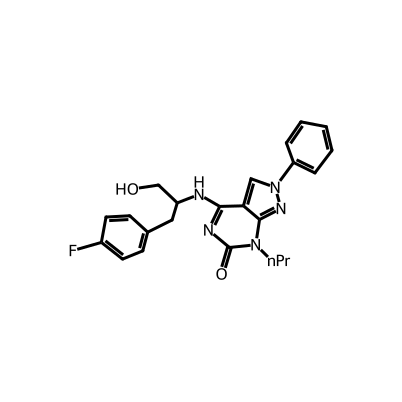 CCCn1c(=O)nc(NC(CO)Cc2ccc(F)cc2)c2cn(-c3ccccc3)nc21